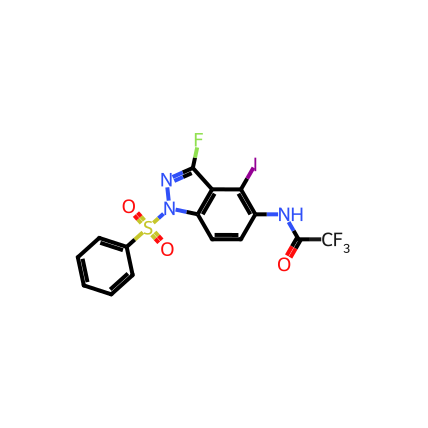 O=C(Nc1ccc2c(c(F)nn2S(=O)(=O)c2ccccc2)c1I)C(F)(F)F